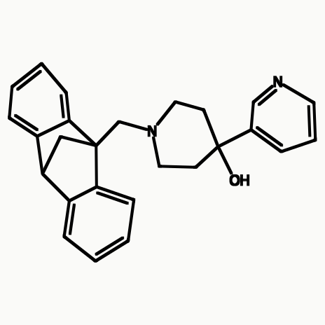 OC1(c2cccnc2)CCN(CC23CC(c4ccccc42)c2ccccc23)CC1